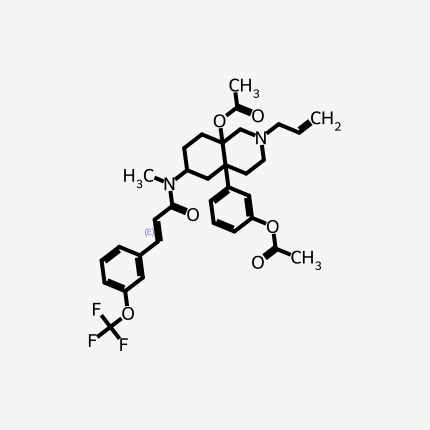 C=CCN1CCC2(c3cccc(OC(C)=O)c3)CC(N(C)C(=O)/C=C/c3cccc(OC(F)(F)F)c3)CCC2(OC(C)=O)C1